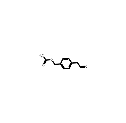 CC(=O)OCc1ccc(CC=O)cc1